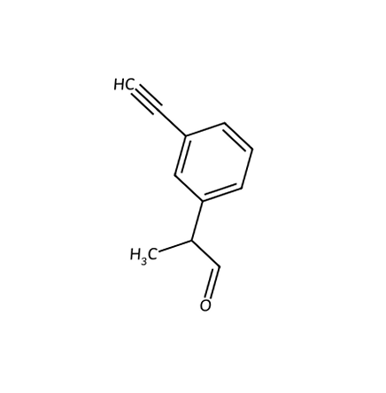 C#Cc1cccc(C(C)C=O)c1